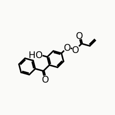 C=CC(=O)OOc1ccc(C(=O)c2ccccc2)c(O)c1